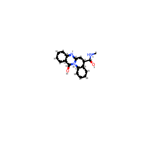 CNC(=O)c1cc2nc3ccccc3c(=O)n2c2ccccc12